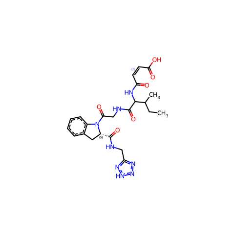 CCC(C)C(NC(=O)/C=C\C(=O)O)C(=O)NCC(=O)N1c2ccccc2C[C@H]1C(=O)NCc1nn[nH]n1